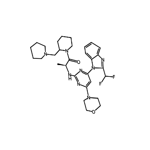 C[C@H](Nc1nc(N2CCOCC2)cc(-n2c(C(F)F)nc3ccccc32)n1)C(=O)N1CCCCC1CN1CCCCC1